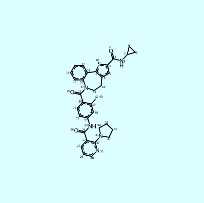 O=C(NC1CC1)c1cc2c(s1)-c1ccccc1N(C(=O)c1ccc(NC(=O)c3cccnc3N3CCCC3)cc1F)CC2